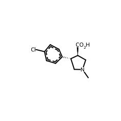 CN1C[C@H](C(=O)O)[C@@H](c2ccc(Cl)cc2)C1